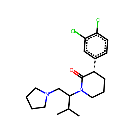 CC(C)C(CN1CCCC1)N1CCC[C@@H](c2ccc(Cl)c(Cl)c2)C1=O